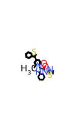 Cc1cc(-c2csc3ccccc23)cc(=O)n1[C@@H](CC1CCCCC1)C(=O)Nc1nccs1